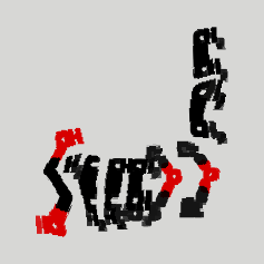 C=C.C=C.C=C.C=C.C=C.CCOCC.CCOS(=O)(=O)O.OCCO